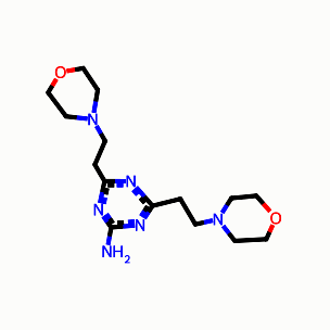 Nc1nc(CCN2CCOCC2)nc(CCN2CCOCC2)n1